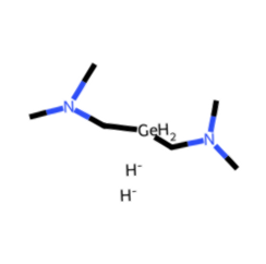 CN(C)[CH2][GeH2][CH2]N(C)C.[H-].[H-]